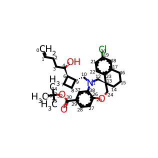 C=CCCC(O)[C@@H]1CC[C@H]1CN1C[C@@]2(CCCc3cc(Cl)ccc32)COc2ccc(C(=O)OC(C)(C)C)cc21